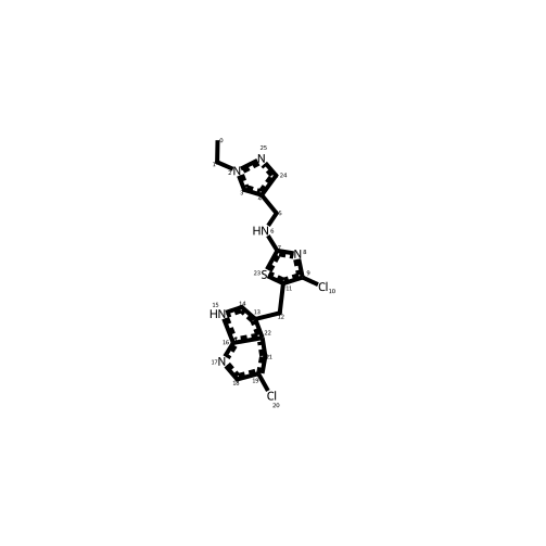 CCn1cc(CNc2nc(Cl)c(Cc3c[nH]c4ncc(Cl)cc34)s2)cn1